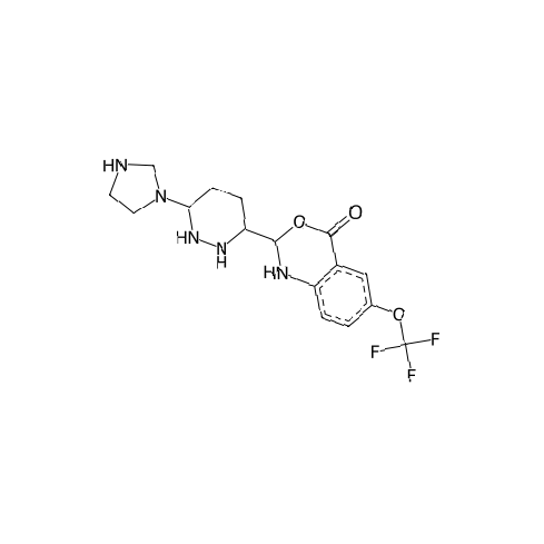 O=C1OC(C2CCC(N3CCNC3)NN2)Nc2ccc(OC(F)(F)F)cc21